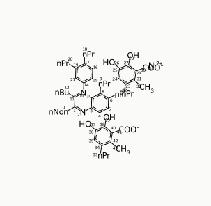 CCCCCCCCCC(=Nc1ccc(CCC)c(CCC)c1)C(CCCC)=Nc1ccc(CCC)c(CCC)c1.CCCc1cc(O)c(O)c(C(=O)[O-])c1C.CCCc1cc(O)c(O)c(C(=O)[O-])c1C.[Ni+2]